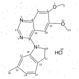 COc1cc2ncnc(N3CCc4ccc(C)cc43)c2cc1OC.Cl